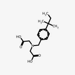 CCC(C)(C)c1ccc(CN(CC(=O)O)CC(=O)O)cc1